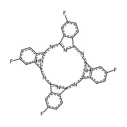 Fc1ccc2c(c1)-c1nc-2nc2[nH]c(nc3nc(nc4[nH]c(n1)c1ccc(F)cc41)-c1cc(F)ccc1-3)c1ccc(F)cc21